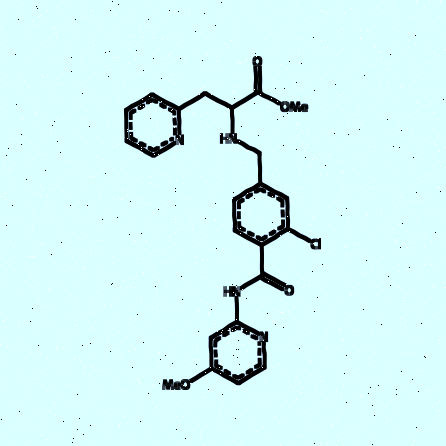 COC(=O)C(Cc1ccccn1)NCc1ccc(C(=O)Nc2cc(OC)ccn2)c(Cl)c1